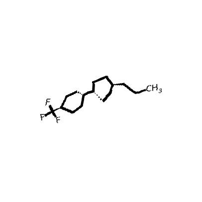 CCC[C@H]1CC[C@H]([C@H]2CC[C@H](C(F)(F)F)CC2)CC1